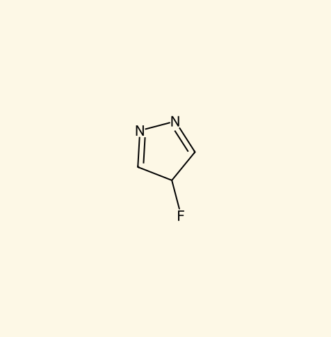 FC1C=NN=C1